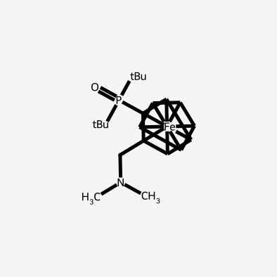 CN(C)C[C]12[CH]3[CH]4[CH]5[C]1(P(=O)(C(C)(C)C)C(C)(C)C)[Fe]43521678[CH]2[CH]1[CH]6[CH]7[CH]28